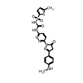 CNc1ccc(C2=NN(c3ccc(NC(=O)NS(=O)(=O)c4ccc(C)s4)nn3)C(=O)C2)cc1